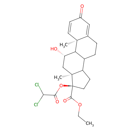 CCOC(=O)[C@@]1(OC(=O)C(Cl)Cl)CCC2C3CCC4=CC(=O)C=C[C@]4(C)C3[C@@H](O)C[C@@]21C